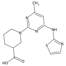 Cc1cc(Nc2nccs2)nc(N2CCCC(C(=O)O)C2)n1